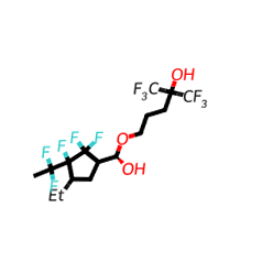 CCC1CC([C@H](O)OCCCC(O)(C(F)(F)F)C(F)(F)F)C(F)(F)C1(F)C(C)(F)F